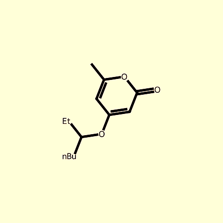 CCCCC(CC)Oc1cc(C)oc(=O)c1